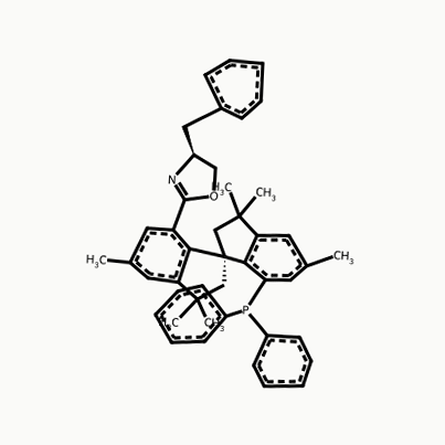 Cc1cc(C2=N[C@@H](Cc3ccccc3)CO2)c2c(c1)C(C)(C)C[C@@]21CC(C)(C)c2cc(C)cc(P(c3ccccc3)c3ccccc3)c21